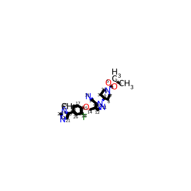 CC(C)OC(=O)N1CCC(n2ncc(COc3ccc(-c4cncn4C)cc3F)c2C#N)CC1